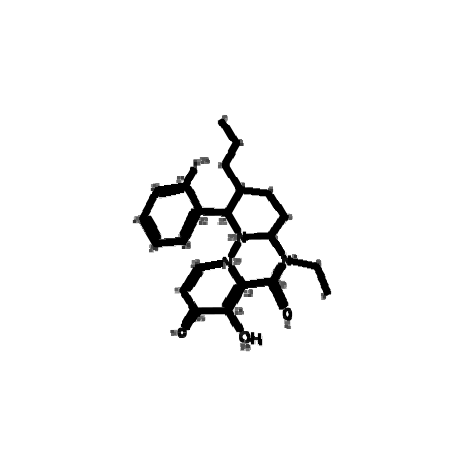 CCCC1CCC2N(CC)C(=O)c3c(O)c(=O)ccn3N2C1c1ccccc1F